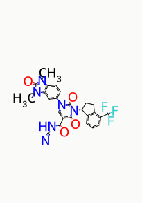 Cn1c(=O)n(C)c2cc(-n3cc(C(=O)NC#N)c(=O)n([C@@H]4CCc5c4cccc5C(F)(F)F)c3=O)ccc21